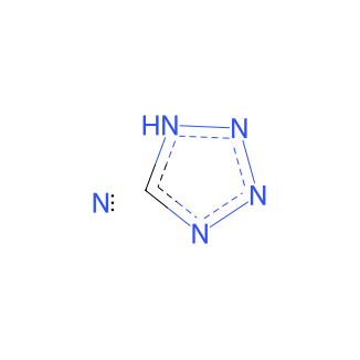 [N].c1nnn[nH]1